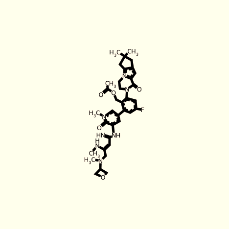 CN/C(=C\C(=N)Nc1cc(-c2cc(F)cc(N3CCn4c(cc5c4CC(C)(C)C5)C3=O)c2COC(C)=O)cn(C)c1=O)CN(C)C1COC1